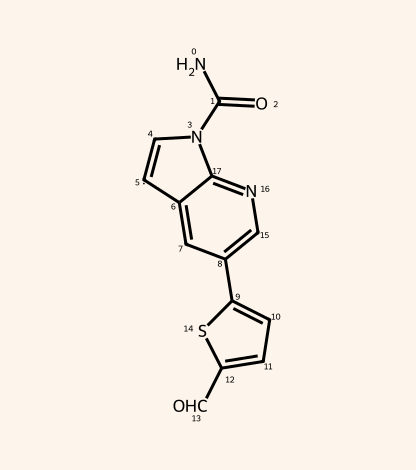 NC(=O)n1c[c]c2cc(-c3ccc(C=O)s3)cnc21